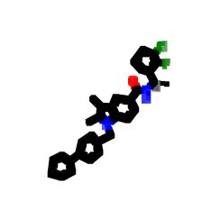 Cc1c(C)n(Cc2ccc(-c3ccccc3)cc2)c2ccc(C(=O)N[C@@H](C)c3cccc(Cl)c3F)cc12